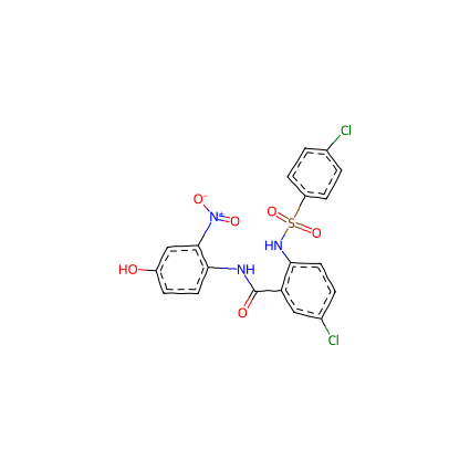 O=C(Nc1ccc(O)cc1[N+](=O)[O-])c1cc(Cl)ccc1NS(=O)(=O)c1ccc(Cl)cc1